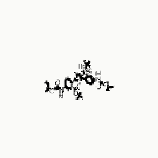 CCC(C)OC(=O)N[C@@H]1CC[C@@H](c2ncc(-c3ccc(NC(=O)OC(C)C)cc3S(=O)(=O)NC(C)(C)C)s2)N(C(=O)OC(C)(C)C)C1